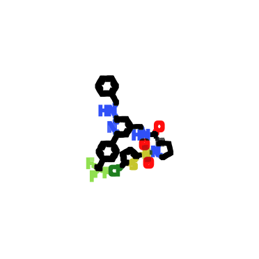 O=C(NCc1cc(NCc2ccccc2)nc(-c2ccc(C(F)(F)F)cc2)c1)[C@@H]1CCCN1S(=O)(=O)c1ccc(Cl)s1